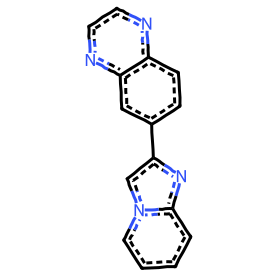 c1ccn2cc(-c3ccc4nccnc4c3)nc2c1